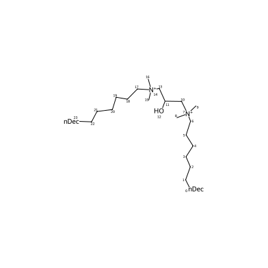 CCCCCCCCCCCCCCCC[N+](C)(C)CC(O)C[N+](C)(C)CCCCCCCCCCCCCCCC